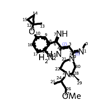 C/N=C(\C=C(/N)C(=N)c1cc(OC2(C)CC2)ccc1N)N1CCN(C(C)COC)[C@H](C)C1